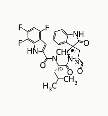 CC(C)C[C@@H](C(=O)N1C[C@]2(C[C@H]1C=O)C(=O)Nc1ccccc12)N(C)C(=O)c1cc2c(F)cc(F)c(F)c2[nH]1